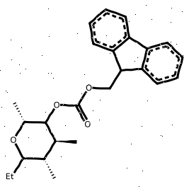 CCC1O[C@H](C)C(OC(=O)OCC2c3ccccc3-c3ccccc32)[C@@H](C)[C@@H]1C